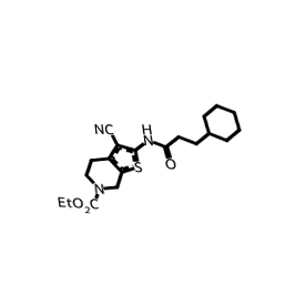 CCOC(=O)N1CCc2c(sc(NC(=O)CCC3CCCCC3)c2C#N)C1